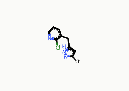 CCc1cc(Cc2cccnc2Cl)[nH]n1